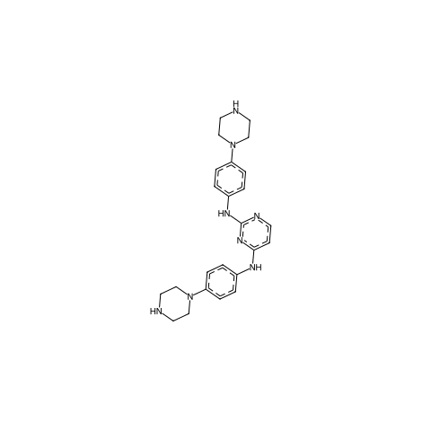 c1cc(Nc2ccc(N3CCNCC3)cc2)nc(Nc2ccc(N3CCNCC3)cc2)n1